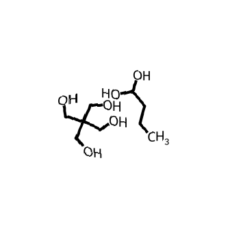 CCCC(O)O.OCC(CO)(CO)CO